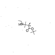 CCNC(C)(C)[C@@H](C)C(=O)OC(C)(C)C